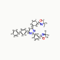 CC1(C)COC(c2cccc(-c3cc(-c4ccc(-c5ccccc5)cc4)nc(-c4cccc(C5=NC(C)(C)CO5)c4)n3)c2)=N1